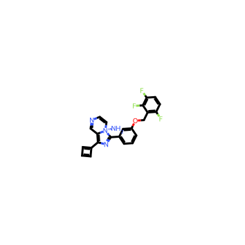 N[N+]12C=CN=CC1=C(C1=CC=C1)N=C2c1cccc(OCc2c(F)ccc(F)c2F)c1